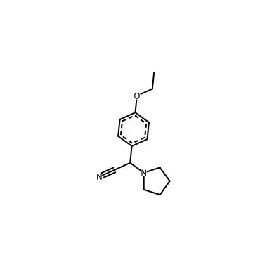 CCOc1ccc(C(C#N)N2CCCC2)cc1